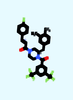 Cc1ccc(C[C@@H]2CN(C(=O)/C=C/c3ccc(F)cc3)CCN2C(=O)c2cc(C(F)(F)F)cc(C(F)(F)F)c2)cc1C